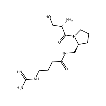 N=C(N)NCCCC(=O)NC[C@@H]1CCCN1C(=O)[C@@H](N)CO